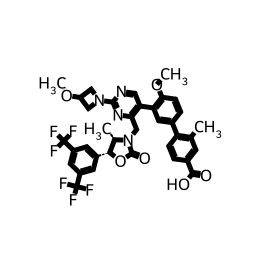 COc1ccc(-c2ccc(C(=O)O)cc2C)cc1-c1cnc(N2CC(OC)C2)nc1CN1C(=O)O[C@H](c2cc(C(F)(F)F)cc(C(F)(F)F)c2)[C@@H]1C